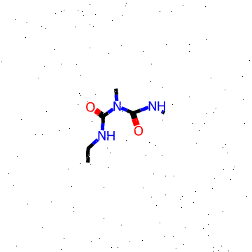 CCNC(=O)N(C)C(=O)NC